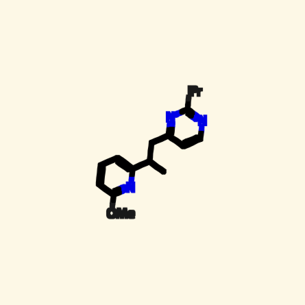 COc1cccc(C(C)Cc2ccnc(C(C)C)n2)n1